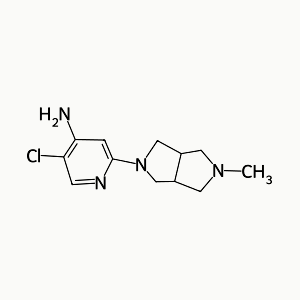 CN1CC2CN(c3cc(N)c(Cl)cn3)CC2C1